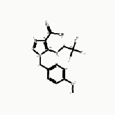 COc1ccc(Cn2nnc(C(=O)O)c2SCC(F)(F)F)cc1